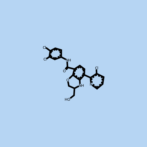 O=C(Nc1ccc(Cl)c(Cl)c1)c1ccc(-c2ncccc2Cl)c2c1OCC(CO)N2